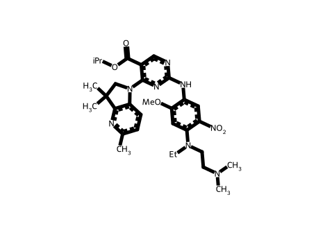 CCN(CCN(C)C)c1cc(OC)c(Nc2ncc(C(=O)OC(C)C)c(N3CC(C)(C)c4nc(C)ccc43)n2)cc1[N+](=O)[O-]